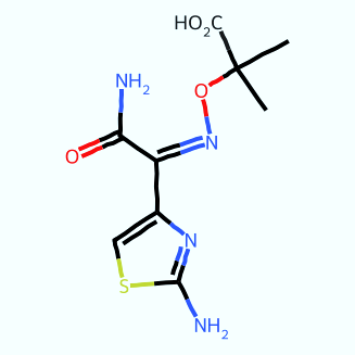 CC(C)(O/N=C(\C(N)=O)c1csc(N)n1)C(=O)O